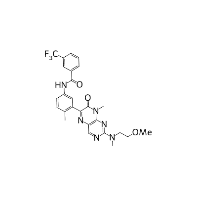 COCCN(C)c1ncc2nc(-c3cc(NC(=O)c4cccc(C(F)(F)F)c4)ccc3C)c(=O)n(C)c2n1